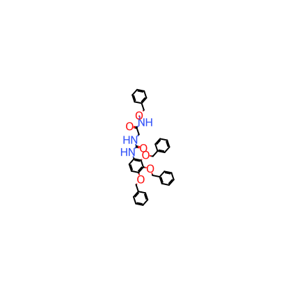 O=C(CNC(=O)Nc1ccc(OCc2ccccc2)c(OCc2ccccc2)c1OCc1ccccc1)NOCc1ccccc1